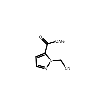 COC(=O)c1ccnn1CC#N